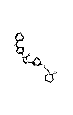 CCC1CCCCN1CCOc1ccc(-n2ccn(-c3ccc(Oc4ccccc4)cc3)c2=O)cc1